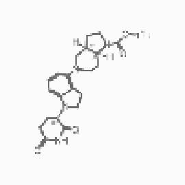 CC(C)(C)OC(=O)N1CC[C@H]2CN(c3cccc4c3CCN4[C@@H]3CCC(=O)NC3=O)CC[C@H]21